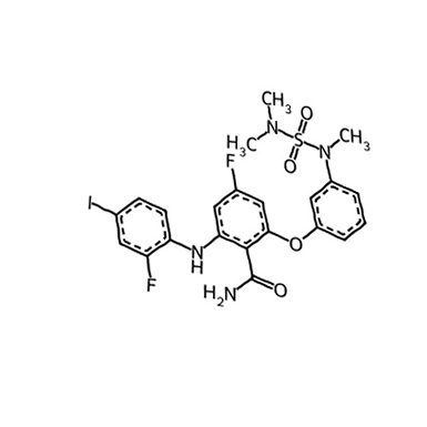 CN(C)S(=O)(=O)N(C)c1cccc(Oc2cc(F)cc(Nc3ccc(I)cc3F)c2C(N)=O)c1